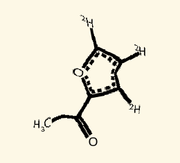 [2H]c1oc(C(C)=O)c([2H])c1[2H]